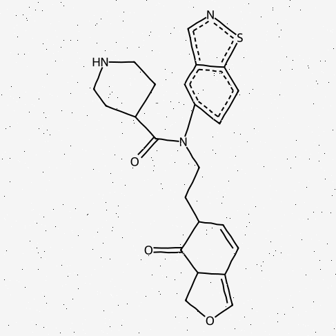 O=C1C(CCN(C(=O)C2CCNCC2)c2ccc3sncc3c2)C=CC2=COCC12